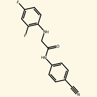 N#Cc1ccc(NC(=O)CNc2ccc(F)cc2F)cc1